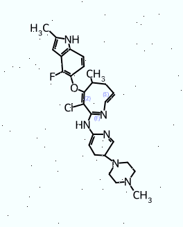 Cc1cc2c(F)c(O/C3=C(Cl)/C(NC4=CCC(N5CCN(C)CC5)C=N4)=N\C=C\CC3C)ccc2[nH]1